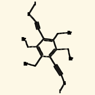 BrCc1c(C#CSI)c(CBr)c(CBr)c(C#CSI)c1CBr